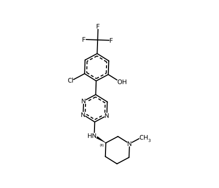 CN1CCC[C@@H](Nc2ncc(-c3c(O)cc(C(F)(F)F)cc3Cl)nn2)C1